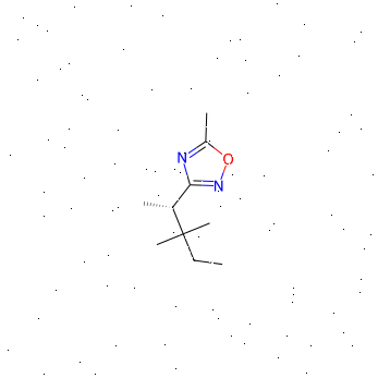 CCC(C)(C)[C@H](C)c1noc(C)n1